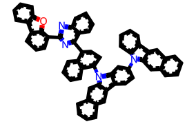 c1ccc2cc3c(cc2c1)c1ccccc1n3-c1ccc2c3cc4ccccc4cc3n(-c3ccc(-c4nc(-c5cccc6c5oc5ccccc56)nc5ccccc45)c4ccccc34)c2c1